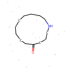 O=C1CCCCCCCCCNCCC1